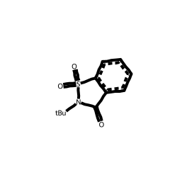 CC(C)(C)N1C(=O)c2ccccc2S1(=O)=O